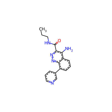 CCCNC(=O)c1nnc2c(-c3cccnc3)cccc2c1N